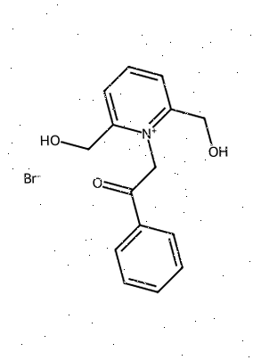 O=C(C[n+]1c(CO)cccc1CO)c1ccccc1.[Br-]